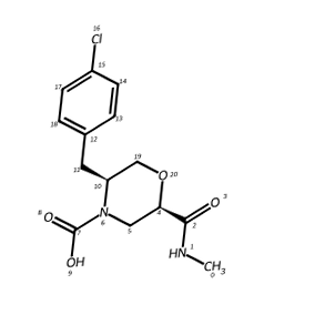 CNC(=O)[C@H]1CN(C(=O)O)[C@@H](Cc2ccc(Cl)cc2)CO1